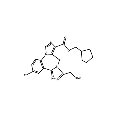 COCc1nnc2n1Cc1c(C(=O)OCC3CCCC3)ncn1-c1ccc(Cl)cc1-2